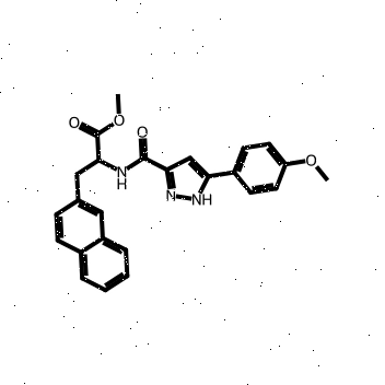 COC(=O)C(Cc1ccc2ccccc2c1)NC(=O)c1cc(-c2ccc(OC)cc2)[nH]n1